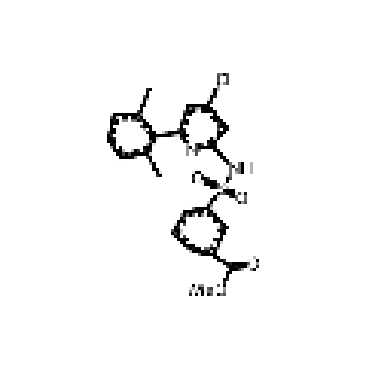 COC(=O)c1cccc(S(=O)(=O)Nc2cc(Cl)cc(-c3c(C)cccc3C)n2)c1